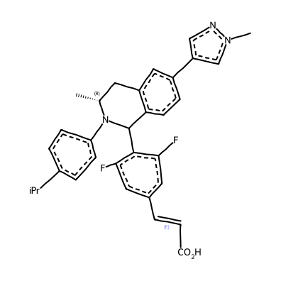 CC(C)c1ccc(N2C(c3c(F)cc(/C=C/C(=O)O)cc3F)c3ccc(-c4cnn(C)c4)cc3C[C@H]2C)cc1